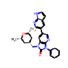 C[C@@H]1C[C@H](Cn2c(=O)n(C3=CCCCC3)c3ncc(-c4cnc5[nH]ccc5c4)cc32)C[C@H](C)O1